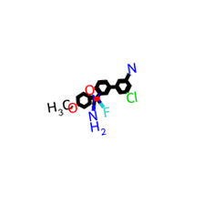 COC1CCC2(CC1)Oc1ccc(-c3cc(Cl)cc(C#N)c3)cc1C21C=C(F)C(N)=N1